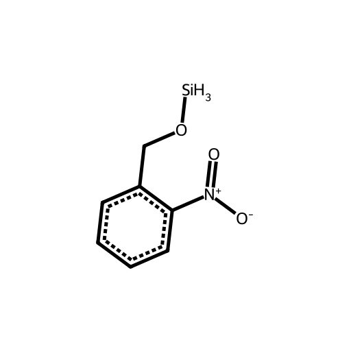 O=[N+]([O-])c1ccccc1CO[SiH3]